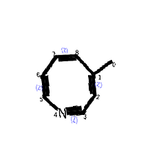 CC1=C/C=N\C=C/C=C\1